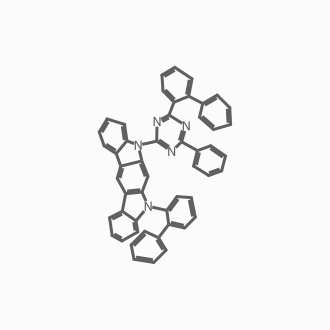 c1ccc(-c2nc(-c3ccccc3-c3ccccc3)nc(-n3c4ccccc4c4cc5c6ccccc6n(-c6ccccc6-c6ccccc6)c5cc43)n2)cc1